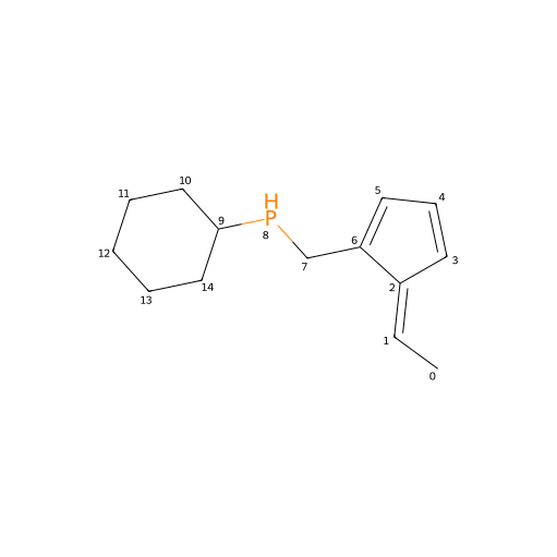 CC=C1C=CC=C1CPC1CCCCC1